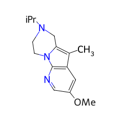 COc1cnc2c(c1)c(C)c1n2CCN(C(C)C)C1